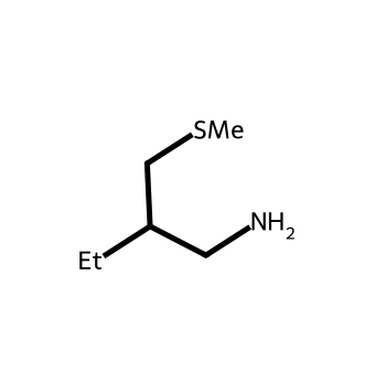 CCC(CN)CSC